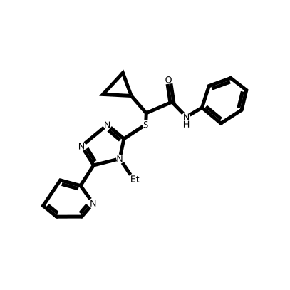 CCn1c(SC(C(=O)Nc2ccccc2)C2CC2)nnc1-c1ccccn1